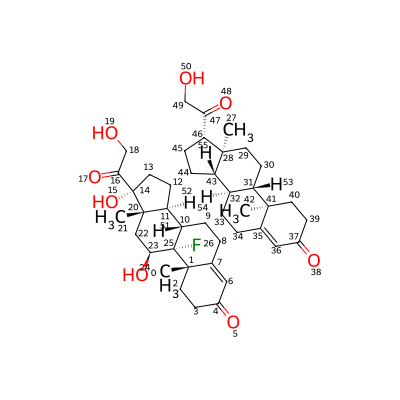 C[C@]12CCC(=O)C=C1CC[C@H]1[C@@H]3CC[C@](O)(C(=O)CO)[C@@]3(C)C[C@H](O)[C@@]12F.C[C@]12CC[C@H]3[C@@H](CCC4=CC(=O)CC[C@@]43C)[C@@H]1CC[C@@H]2C(=O)CO